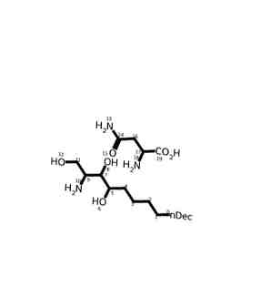 CCCCCCCCCCCCCCC(O)C(O)C(N)CO.NC(=O)CC(N)C(=O)O